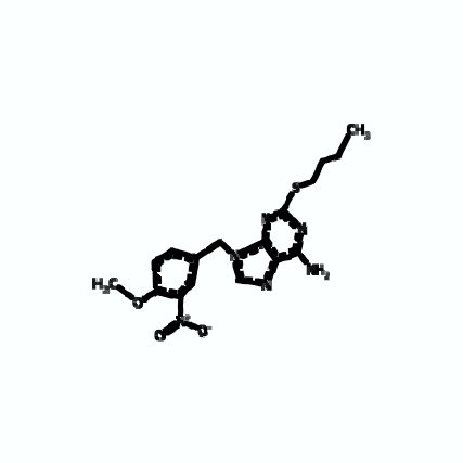 CCCCSc1nc(N)c2ncn(Cc3ccc(OC)c([N+](=O)[O-])c3)c2n1